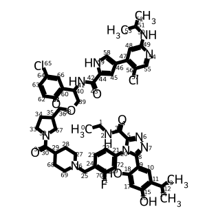 CCNC(=O)c1nnc(-c2cc(C(C)C)c(O)cc2O)n1-c1ccc(CN2CCC(C(=O)N3CCC(C(=O)OCC(NC(=O)c4cc(-c5cc(NC(C)C)ncc5Cl)c[nH]4)c4cccc(Cl)c4)C3)CC2)c(F)c1